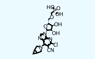 N#Cc1c(Cl)nc2c(ncn2[C@@H]2O[C@H](COCP(=O)(O)O)[C@@H](O)[C@H]2O)c1N1CC2CC2C1